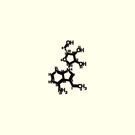 C=Cc1cn([C@@H]2O[C@H](CO)C(O)C2O)c2ncnc(N)c12